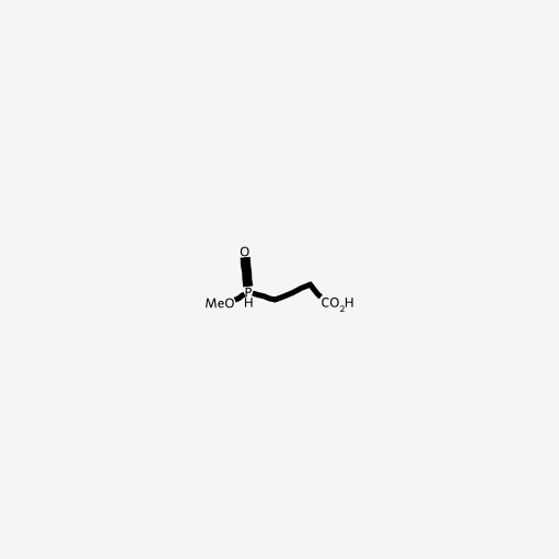 CO[PH](=O)CCC(=O)O